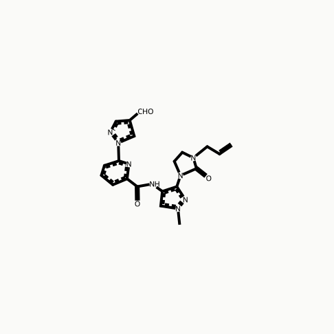 C=CCN1CCN(c2nn(C)cc2NC(=O)c2cccc(-n3cc(C=O)cn3)n2)C1=O